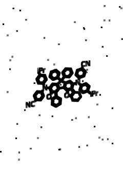 CC(C)c1ccc(N(c2ccc(C#N)cc2)c2cc3c(c4c2oc2ccccc24)-c2c(cc(N(c4ccc(C#N)cc4)c4ccc(C(C)C)cc4)c4c5c(oc24)C=CCC5)C3(c2ccccc2)c2ccccc2)cc1